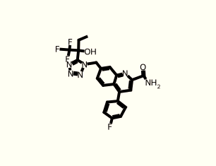 CCC(O)(c1nnnn1Cc1ccc2c(-c3ccc(F)cc3)cc(C(N)=O)nc2c1)C(F)(F)F